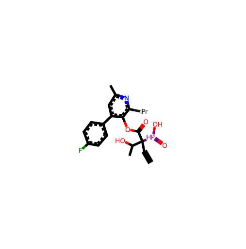 C#CC(C(=O)Oc1c(-c2ccc(F)cc2)cc(C)nc1C(C)C)(C(C)O)[PH](=O)O